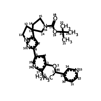 C[C@@H](Oc1cc(-c2cc3n(n2)CCC32CCN(C(=O)OC(C)(C)C)C2)cnc1N)c1cccnc1